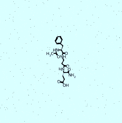 CC(=O)N[C@@H](Cc1ccccc1)C(=O)NCCC(=O)N[C@@H](CCC(=O)O)C(N)=O